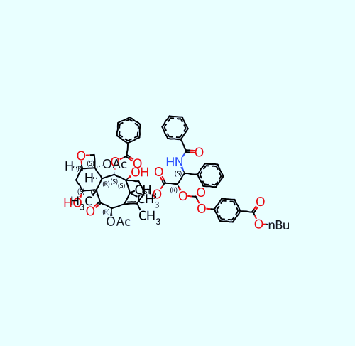 CCCCOC(=O)c1ccc(OC(=O)O[C@@H](C(=O)O[C@H]2C[C@@]3(O)[C@@H](OC(=O)c4ccccc4)[C@@H]4[C@]5(OC(C)=O)CO[C@@H]5C[C@H](O)[C@@]4(C)C(=O)[C@H](OC(C)=O)C(=C2C)C3(C)C)[C@@H](NC(=O)c2ccccc2)c2ccccc2)cc1